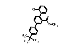 COC(=O)c1cc(-c2ccc(C(C)(C)C)cc2)ccc1-c1ccccc1Cl